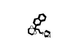 c1ccc2cc(C3(CCn4ccnc4)OCCCO3)ccc2c1